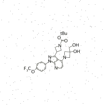 CC(C)(C)OC(=O)N1CC(c2nn(-c3ccc(OC(F)(F)F)cc3)c3nccc(N4CC(O)(CO)C4)c23)C1